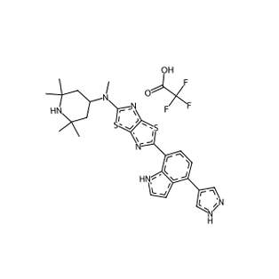 CN(c1nc2sc(-c3ccc(-c4cn[nH]c4)c4cc[nH]c34)nc2s1)C1CC(C)(C)NC(C)(C)C1.O=C(O)C(F)(F)F